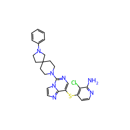 Nc1nccc(Sc2cnc(N3CCC4(CCN(c5ccccc5)C4)CC3)n3ccnc23)c1Cl